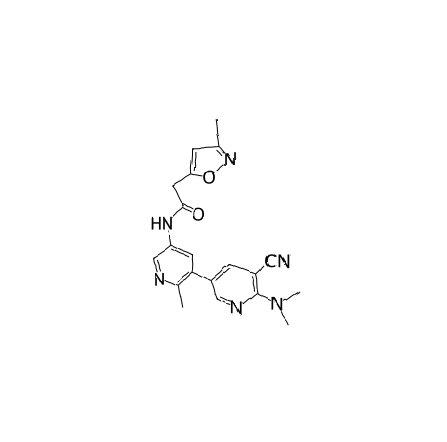 Cc1cc(CC(=O)Nc2cnc(C)c(-c3cnc(N(C)C)c(C#N)c3)c2)on1